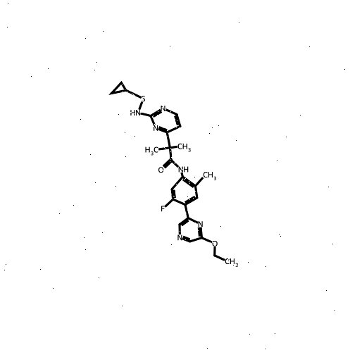 CCOc1cncc(-c2cc(C)c(NC(=O)C(C)(C)c3ccnc(NSC4CC4)n3)cc2F)n1